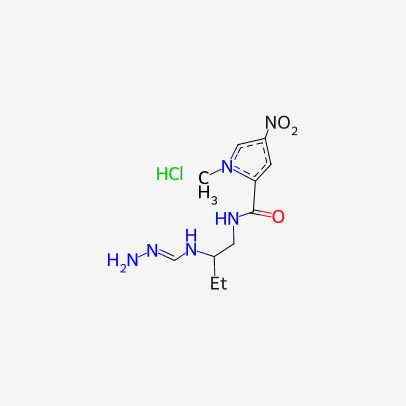 CCC(CNC(=O)c1cc([N+](=O)[O-])cn1C)NC=NN.Cl